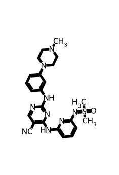 CN1CCN(c2cccc(Nc3ncc(C#N)c(Nc4cccc(N=S(C)(C)=O)n4)n3)c2)CC1